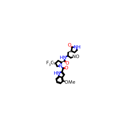 COc1cccc2[nH]c(C(=O)N3C[C@H](C(F)(F)F)C[C@H]3C(=O)NC(CN=O)C[C@@H]3CCNC3=O)cc12